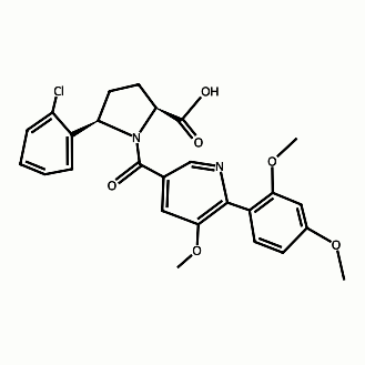 COc1ccc(-c2ncc(C(=O)N3[C@@H](c4ccccc4Cl)CC[C@H]3C(=O)O)cc2OC)c(OC)c1